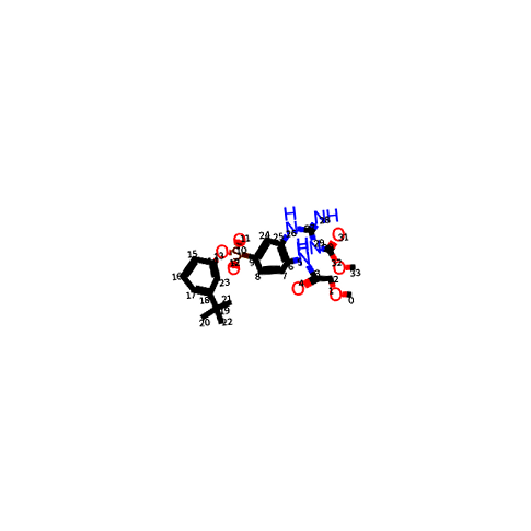 COCC(=O)Nc1ccc(S(=O)(=O)Oc2cccc(C(C)(C)C)c2)cc1NC(=N)NC(=O)OC